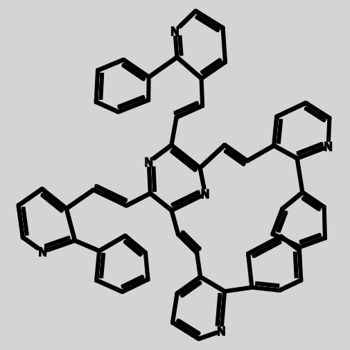 C(=Cc1nc(C=Cc2cccnc2-c2ccccc2)c(C=Cc2cccnc2-c2ccccc2)nc1C=Cc1cccnc1-c1ccccc1)c1cccnc1-c1ccccc1